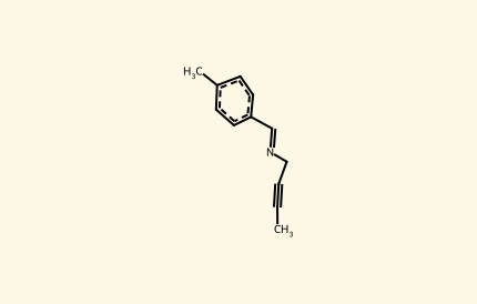 CC#CCN=Cc1ccc(C)cc1